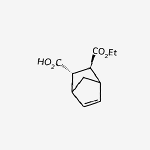 CCOC(=O)[C@H]1C2C=CC(C2)[C@@H]1C(=O)O